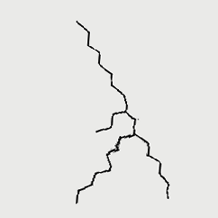 CCCCCCCCC([CH]C(CCCCCC)CCCCCCCC)CCC